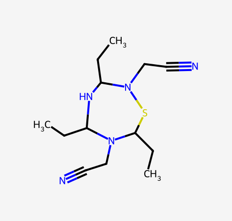 CCC1NC(CC)N(CC#N)C(CC)SN1CC#N